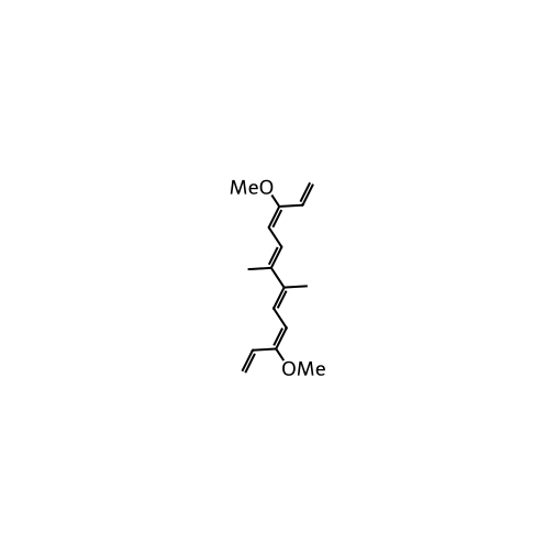 C=C\C(=C/C=C(C)/C(C)=C/C=C(\C=C)OC)OC